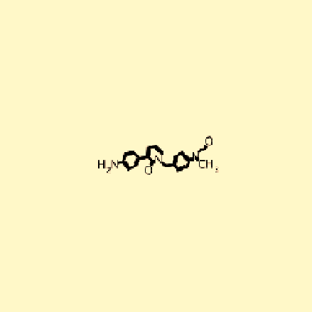 CN(CC=O)c1ccc(Cn2cccc(-c3ccc(N)cc3)c2=O)cc1